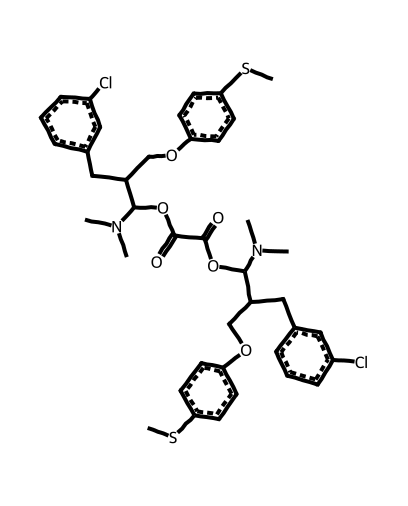 CSc1ccc(OCC(Cc2cccc(Cl)c2)C(OC(=O)C(=O)OC(C(COc2ccc(SC)cc2)Cc2cccc(Cl)c2)N(C)C)N(C)C)cc1